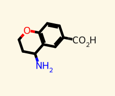 NC1CCOc2ccc(C(=O)O)cc21